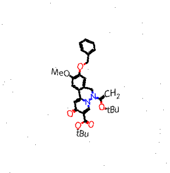 C=C(OC(C)(C)C)N1Cc2cc(OCc3ccccc3)c(OC)cc2-c2cc(=O)c(C(=O)OC(C)(C)C)cn21